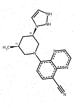 C[C@H]1C[C@@H](N2C=CNN2)CN(c2ccc(C#N)c3nccnc23)C1